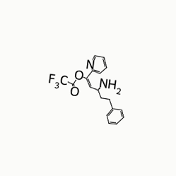 N[C@H](/C=C(/OC(=O)C(F)(F)F)c1ccccn1)CCc1ccccc1